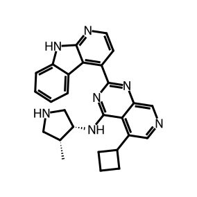 C[C@@H]1CNC[C@@H]1Nc1nc(-c2ccnc3[nH]c4ccccc4c23)nc2cncc(C3CCC3)c12